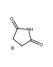 O=C1CCC(=O)N1.[B]